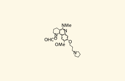 CNc1nc2cc(OCCCN3CCCC3)c(OC)cc2c2c1CCCN2OC=O